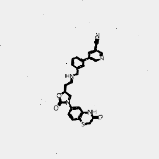 N#Cc1cncc(-c2cccc(CNCCC3CN(c4ccc5c(c4)NC(=O)CS5)C(=O)O3)c2)c1